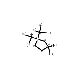 [2H]C([2H])([2H])[Si]1(C([2H])([2H])[2H])CC[C@@]([2H])(C)C1